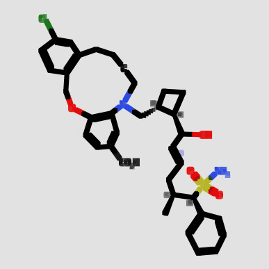 C[C@@H](C/C=C/C(O)[C@@H]1CC[C@H]1CN1CCCCc2cc(Cl)ccc2COc2ccc(C(=O)O)cc21)[C@H](c1ccccc1)S(N)(=O)=O